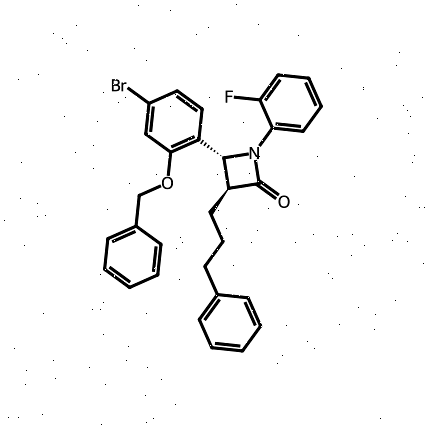 O=C1[C@@H](CCCc2ccccc2)[C@H](c2ccc(Br)cc2OCc2ccccc2)N1c1ccccc1F